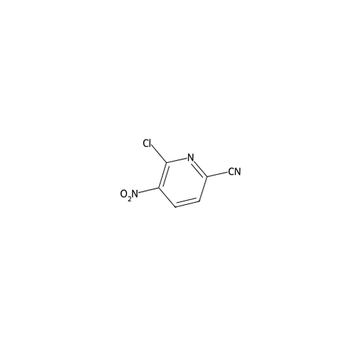 N#Cc1ccc([N+](=O)[O-])c(Cl)n1